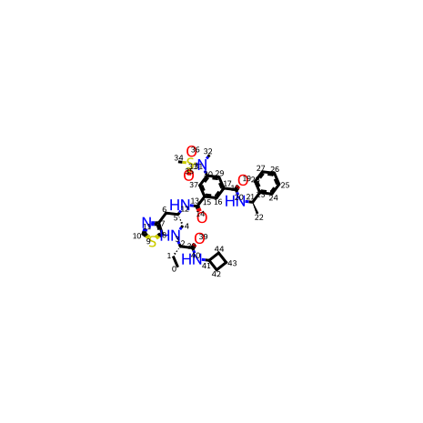 CC[C@H](NC[C@H](Cc1cscn1)NC(=O)c1cc(C(=O)N[C@H](C)c2ccccc2)cc(N(C)S(C)(=O)=O)c1)C(=O)NC1CCC1